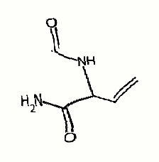 C=CC(N[C]=O)C(N)=O